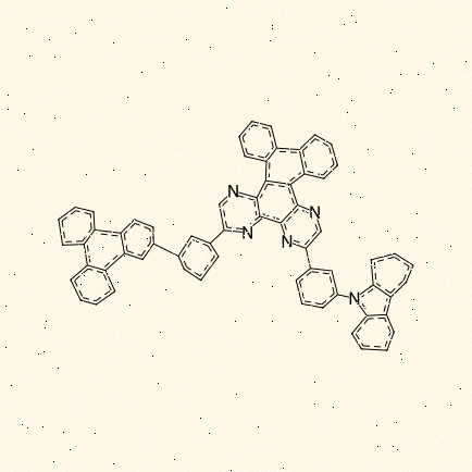 c1cc(-c2ccc3c4ccccc4c4ccccc4c3c2)cc(-c2cnc3c(n2)c2nc(-c4cccc(-n5c6ccccc6c6ccccc65)c4)cnc2c2c4ccccc4c4ccccc4c32)c1